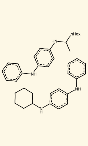 CCCCCCC(C)Nc1ccc(Nc2ccccc2)cc1.c1ccc(Nc2ccc(NC3CCCCC3)cc2)cc1